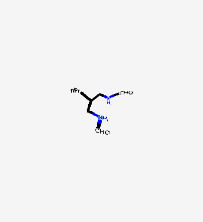 CCCC(CNC=O)CNC=O